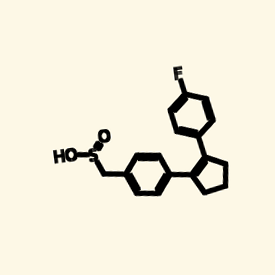 O=S(O)Cc1ccc(C2=C(c3ccc(F)cc3)CCC2)cc1